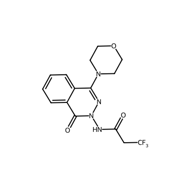 O=C(CC(F)(F)F)Nn1nc(N2CCOCC2)c2ccccc2c1=O